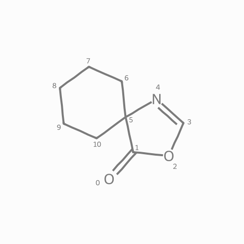 O=C1OC=NC12CCCCC2